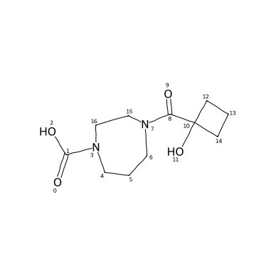 O=C(O)N1CCCN(C(=O)C2(O)CCC2)CC1